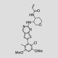 C=CC(=O)NC1CCOCC1Nc1ncc2cc(-c3c(C)c(OC)cc(OC)c3Cl)sc2n1